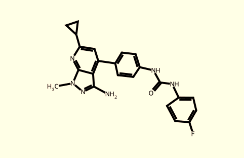 Cn1nc(N)c2c(-c3ccc(NC(=O)Nc4ccc(F)cc4)cc3)cc(C3CC3)nc21